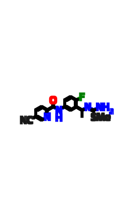 CS/C(N)=N\C(C)c1cc(NC(=O)c2ccc(C#N)cn2)ccc1F